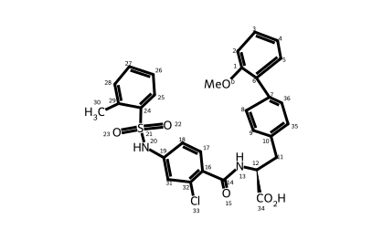 COc1ccccc1-c1ccc(C[C@H](NC(=O)c2ccc(NS(=O)(=O)c3ccccc3C)cc2Cl)C(=O)O)cc1